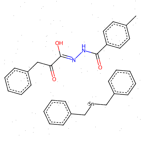 Cc1ccc(C(=O)NN=C(O)C(=O)Cc2ccccc2)cc1.c1ccc([CH2][Sn][CH2]c2ccccc2)cc1